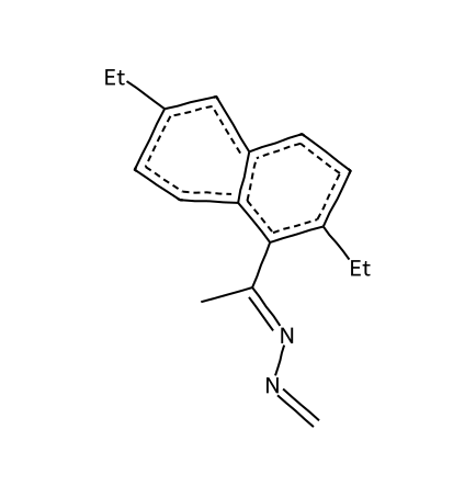 C=N/N=C(\C)c1c(CC)ccc2cc(CC)ccc12